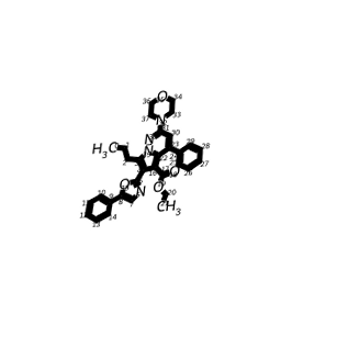 CCCc1c(-c2ncc(-c3ccccc3)o2)c(C(=O)OCC)c2c(-c3ccccc3)cc(N3CCOCC3)nn12